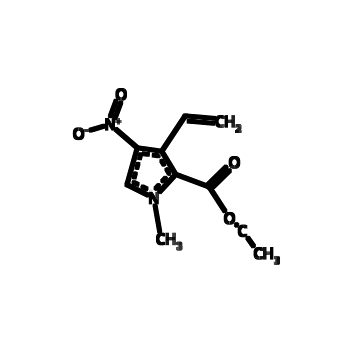 C=Cc1c([N+](=O)[O-])cn(C)c1C(=O)OCC